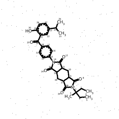 CCC(C)(CC)N1C(=O)C2CC3C(=O)N(c4ccc(C(=O)c5cc(C(C)C)ccc5O)cc4)C(=O)C3CC2C1=O